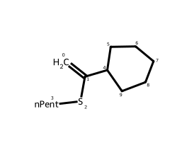 C=C(SCCCCC)C1CCCCC1